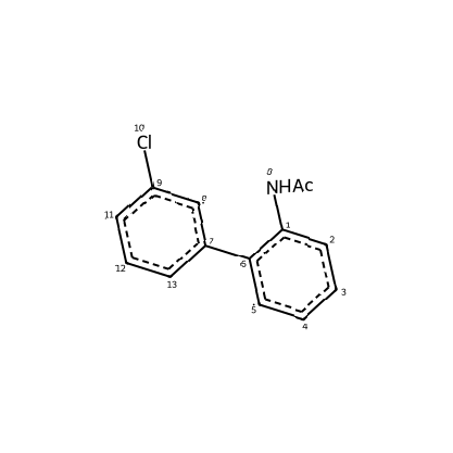 CC(=O)Nc1ccc[c]c1-c1[c]c(Cl)ccc1